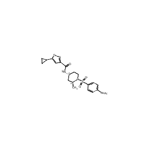 CC(=O)Nc1ccc(S(=O)(=O)N2CC[C@@H](NC(=O)c3cc(C4CC4)on3)C[C@@H]2C)cc1